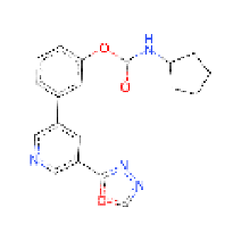 O=C(NC1CCCC1)Oc1cccc(-c2cncc(-c3nnco3)c2)c1